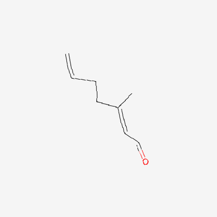 C=CCC/C(C)=C/C=O